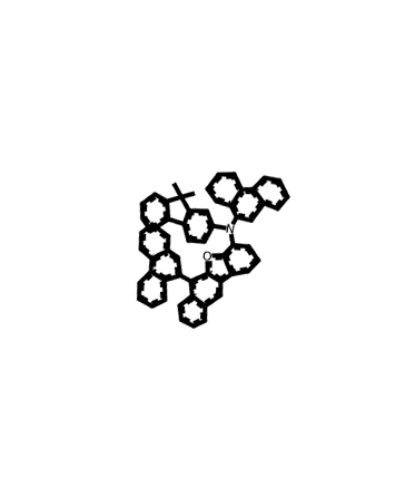 CC1(C)c2ccccc2-c2ccc(N(c3cc4ccccc4c4ccccc34)c3cccc4c3oc3c(-c5cc6ccccc6c6ccccc56)c5ccccc5cc34)cc21